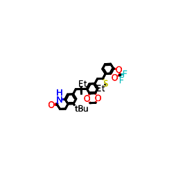 CCSC(Cc1cc2c(c(C(C)(CC)Cc3cc4c(c(C(C)(C)C)c3)CCC(=O)N4)c1)OCCO2)c1cccc2c1OC(F)(F)O2